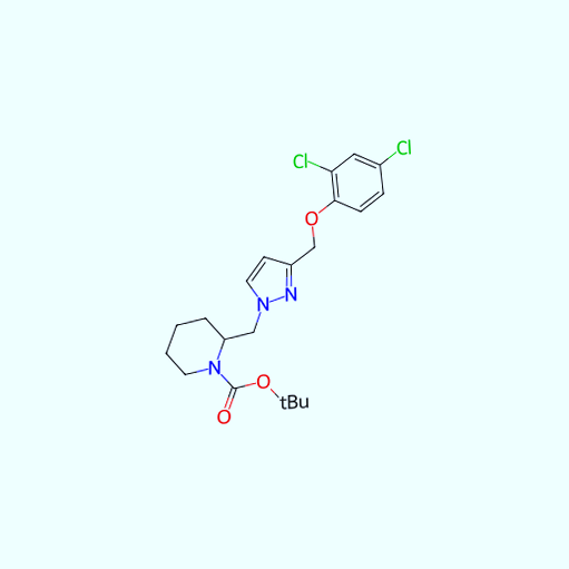 CC(C)(C)OC(=O)N1CCCCC1Cn1ccc(COc2ccc(Cl)cc2Cl)n1